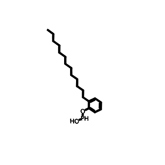 CCCCCCCCCCCCCc1ccccc1OPO